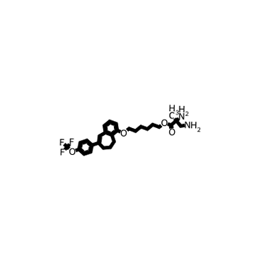 CC(N)(CN)C(=O)OCCCCCCOc1cccc2c1CCCC(c1ccc(OC(F)(F)F)cc1)=C2